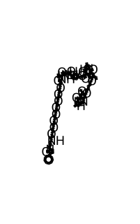 CCc1cc2c(cc1OCCCCCOc1cc3c(cc1OC)C(=O)N1C=C(C)C[C@H]1C=N3)N(C(=O)OCc1ccc(NC(=O)[C@H](C)NC(=O)[C@@H](NC(=O)CCOCCOCCOCCOCCOCCOCCOCCOCCNCCCN3CCC(C4CCCCCCCC4)C3=O)C(C)C)cc1)[C@@H](O)[C@@H]1CC(C)=CN1C2=O